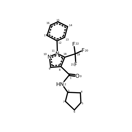 O=C(NC1CCCC1)c1cnn(-c2ccccc2)c1C(F)(F)F